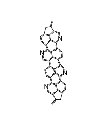 C=C1Cc2ccc3c4ncc5c6ccc7c8ncc9c%10c(ccc(c%11ncc(c%12ccc(c%13ncc1c2c3%13)c4c%125)c6c7%11)c%108)CC9=C